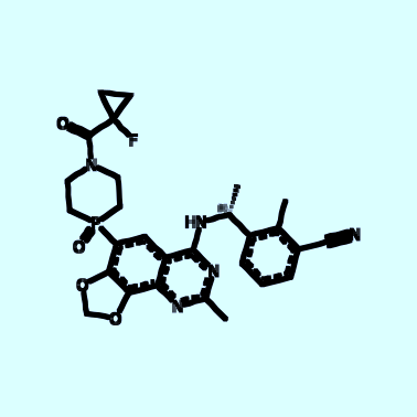 Cc1nc(N[C@H](C)c2cccc(C#N)c2C)c2cc(P3(=O)CCN(C(=O)C4(F)CC4)CC3)c3c(c2n1)OCO3